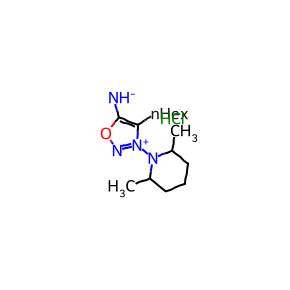 CCCCCCc1c([NH-])on[n+]1N1C(C)CCCC1C.Cl